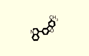 Cc1ccc2oc3ccc(-c4ccnc5ccccc45)cc3c2c1